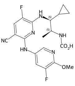 COc1ncc(Nc2nc(N[C@@H](C3CC3)[C@H](C)NC(=O)O)c(F)cc2C#N)cc1F